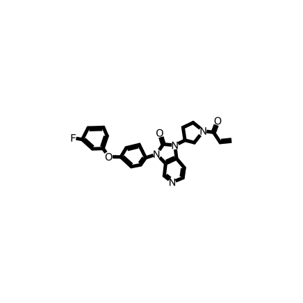 C=CC(=O)N1CCC(n2c(=O)n(-c3ccc(Oc4cccc(F)c4)cc3)c3cnccc32)C1